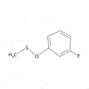 CSOc1cccc(F)c1